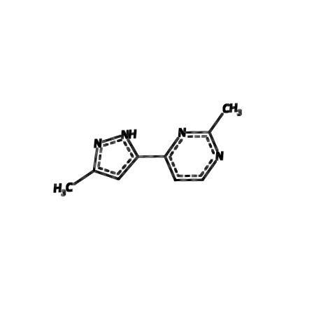 Cc1cc(-c2ccnc(C)n2)[nH]n1